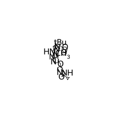 Cn1c(Nc2cc(C(C)(C)C)n(CC3COCCO3)n2)nc2ncc(Oc3ccnc(NC(=O)C4CC4)c3)cc21